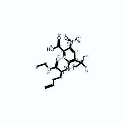 C=CCCC(Nc1nc(C(=O)O)c([N+](=O)[O-])cc1C(F)(F)F)C(=O)OCC